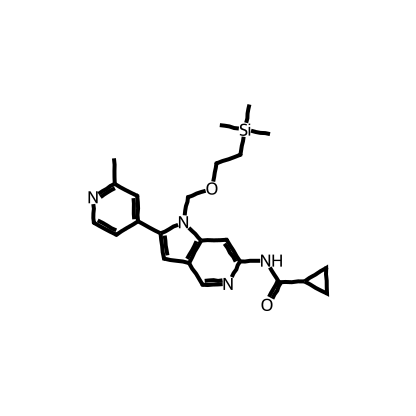 Cc1cc(-c2cc3cnc(NC(=O)C4CC4)cc3n2COCC[Si](C)(C)C)ccn1